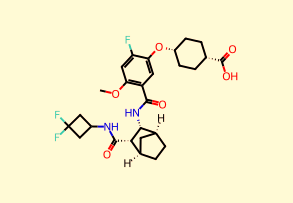 COc1cc(F)c(O[C@H]2CC[C@@H](C(=O)O)CC2)cc1C(=O)N[C@@H]1[C@H]2CC[C@H](C2)[C@@H]1C(=O)NC1CC(F)(F)C1